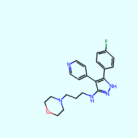 Fc1ccc(-c2[nH]nc(NCCCN3CCOCC3)c2-c2ccncc2)cc1